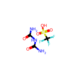 NC(=O)NC(N)=O.O=S(=O)(O)C(F)(F)F